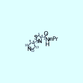 CCCNC(=O)c1csc(-c2ccncc2)n1